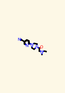 CCN(C)CC(=O)N1CCN(c2ccc(C#N)cn2)CC1